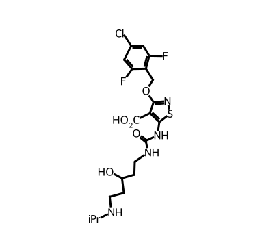 CC(C)NCCC(O)CCNC(=O)Nc1snc(OCc2c(F)cc(Cl)cc2F)c1C(=O)O